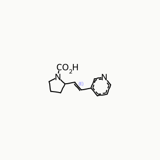 O=C(O)N1CCCC1/C=C/c1cccnc1